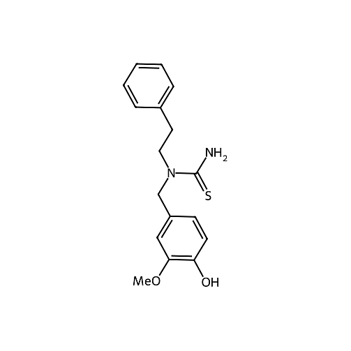 COc1cc(CN(CCc2ccccc2)C(N)=S)ccc1O